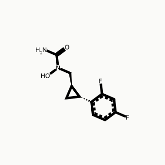 NC(=O)N(O)C[C@@H]1C[C@H]1c1ccc(F)cc1F